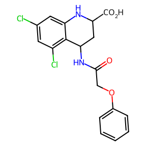 O=C(COc1ccccc1)NC1CC(C(=O)O)Nc2cc(Cl)cc(Cl)c21